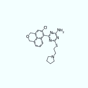 Nc1nc(SCCN2CCCC2)nc(-c2c(Cl)cc3c4c(cccc24)COC3)n1